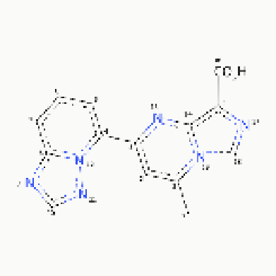 Cc1cc(-c2cccc3ncnn23)nc2c(C(=O)O)ncn12